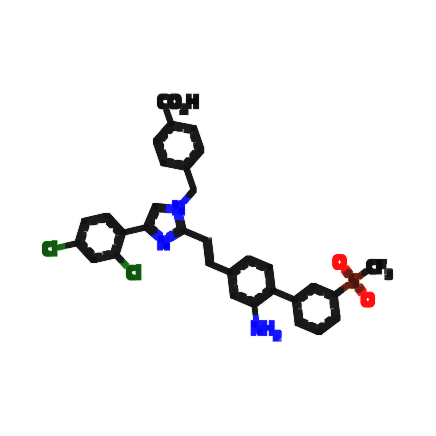 Nc1cc(C=Cc2nc(-c3ccc(Cl)cc3Cl)cn2Cc2ccc(C(=O)O)cc2)ccc1-c1cccc(S(=O)(=O)C(F)(F)F)c1